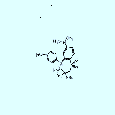 CCCCC1(CCCC)CS(=O)(=O)c2ccc(N(C)C)cc2[C@H](c2ccc(O)cc2)[C@@H]1O